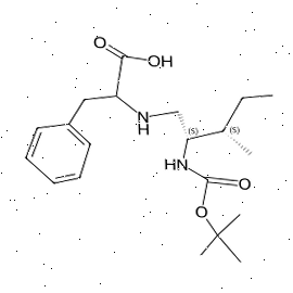 CC[C@H](C)[C@@H](CNC(Cc1ccccc1)C(=O)O)NC(=O)OC(C)(C)C